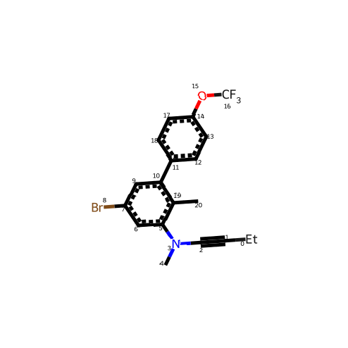 CCC#CN(C)c1cc(Br)cc(-c2ccc(OC(F)(F)F)cc2)c1C